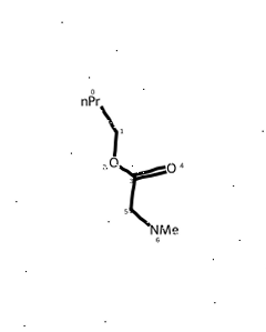 CCCCOC(=O)[CH]NC